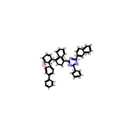 c1ccc(-c2ccc3c(c2)oc2cccc(C4=c5ccccc5=C(c5nc(-c6ccccc6)nc(-c6ccc7ccccc7c6)n5)CC4)c23)cc1